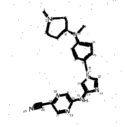 CN1CC[C@H](N(C)c2ccc(-n3cnc(Nc4cnc(C#N)cn4)c3)cc2)C1